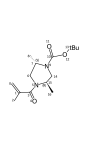 C=C(C)C(=O)N1C[C@H](C)N(C(=O)OC(C)(C)C)C[C@H]1C